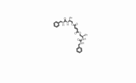 CC(C)[C@H](COC(=O)/C=C/C(=O)OC[C@H](NC(=O)NCc1ccccc1)C(C)C)NC(=O)NCc1ccccc1